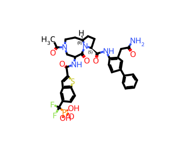 CC(=O)N1CC[C@H]2CC[C@@H](C(=O)Nc3ccc(-c4ccccc4)cc3CC(N)=O)N2C(=O)C(NC(=O)c2cc3cc(C(F)(F)P(=O)(O)O)ccc3s2)C1